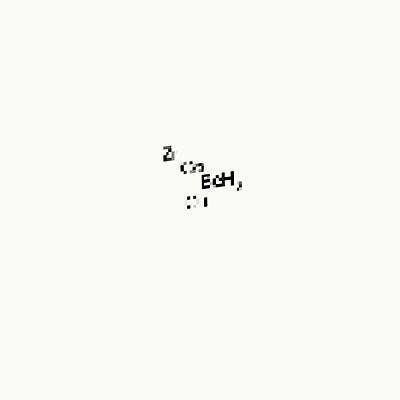 [BeH2].[Co].[Cu].[Zr]